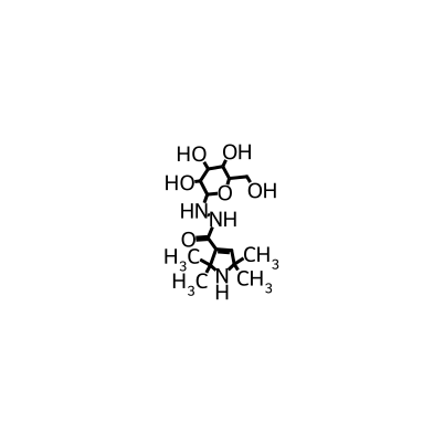 CC1(C)C=C(C(=O)NNC2OC(CO)C(O)C(O)C2O)C(C)(C)N1